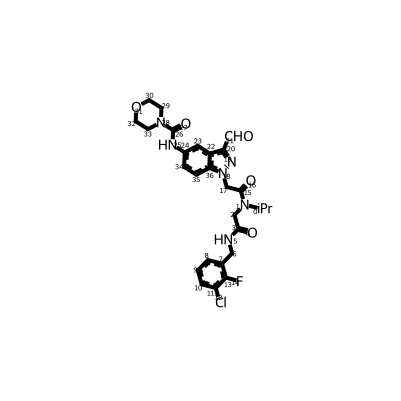 CC(C)N(CC(=O)NCc1cccc(Cl)c1F)C(=O)Cn1nc(C=O)c2cc(NC(=O)N3CCOCC3)ccc21